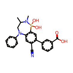 CC1CN(c2ccccc2)c2cc(C#N)c(-c3cccc(C(=O)O)c3)cc2S(O)(O)N1C